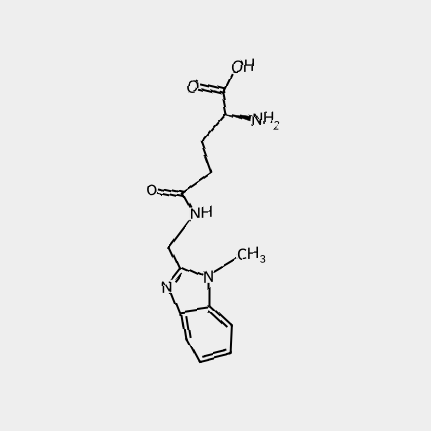 Cn1c(CNC(=O)CC[C@H](N)C(=O)O)nc2ccccc21